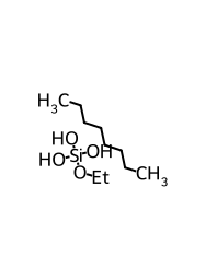 CCCCCCCC.CCO[Si](O)(O)O